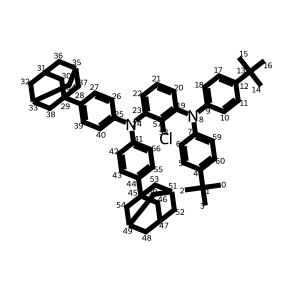 CC(C)(C)c1ccc(N(c2ccc(C(C)(C)C)cc2)c2cccc(N(c3ccc(C45CC6CC(CC(C6)C4)C5)cc3)c3ccc(C45CC6CC(CC(C6)C4)C5)cc3)c2Cl)cc1